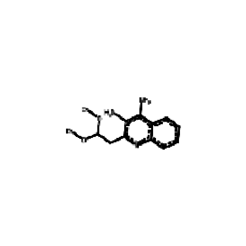 CCOC(Cc1nc2ccccc2c(N)c1N)OCC